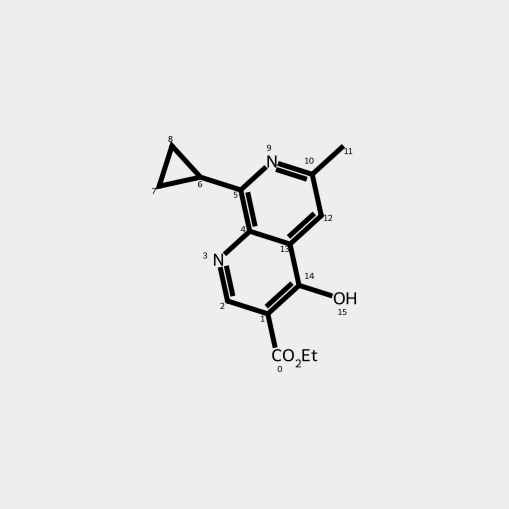 CCOC(=O)c1cnc2c(C3CC3)nc(C)cc2c1O